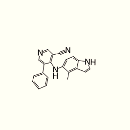 Cc1c(Nc2c(C#N)cncc2-c2ccccc2)ccc2[nH]ccc12